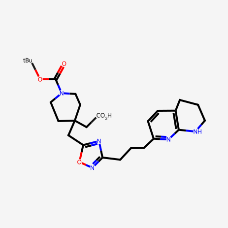 CC(C)(C)OC(=O)N1CCC(CC(=O)O)(Cc2nc(CCCc3ccc4c(n3)NCCC4)no2)CC1